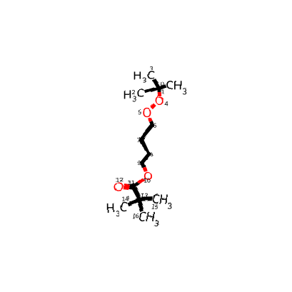 CC(C)(C)OOCCCCOC(=O)C(C)(C)C